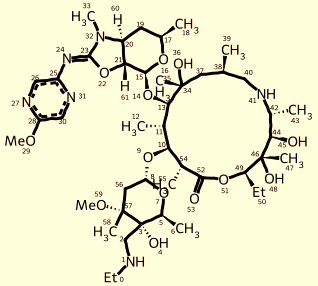 CCNC[C@]1(O)[C@H](C)O[C@@H](O[C@H]2[C@H](C)[C@@H](O[C@@H]3O[C@H](C)C[C@H]4[C@H]3O/C(=N\c3cnc(OC)cn3)N4C)[C@](C)(O)C[C@@H](C)CN[C@H](C)[C@@H](O)[C@](C)(O)[C@@H](CC)OC(=O)[C@@H]2C)C[C@@]1(C)OC